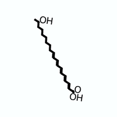 CC(O)CCCCCCCC=CC=CC=CC=CC=CC(=O)O